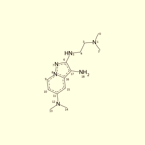 CN(C)CCNc1nn2ccc(N(C)C)cc2c1N